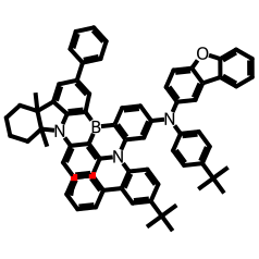 Cc1cc2c3c(c1)N1c4c(cc(-c5ccccc5)cc4C4(C)CCCCC14C)B3c1ccc(N(c3ccc(C(C)(C)C)cc3)c3ccc4oc5ccccc5c4c3)cc1N2c1ccc(C(C)(C)C)cc1-c1ccccc1